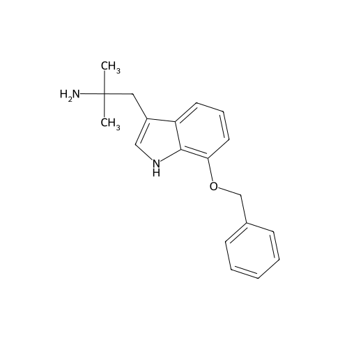 CC(C)(N)Cc1c[nH]c2c(OCc3ccccc3)cccc12